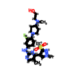 CCS(=O)(=O)c1nn(C(C)C)cc1-c1nc(Nc2ccc(N3CCC(N(C)CCO)CC3)c(F)c2)ncc1C